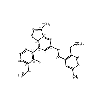 CCOC(=O)Cc1ccc(C)cc1OCc1cc(-c2ccnc(CN)c2F)c2occ(C)c2c1